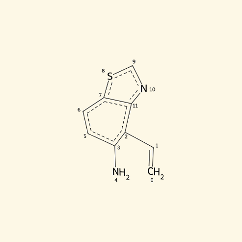 C=Cc1c(N)ccc2scnc12